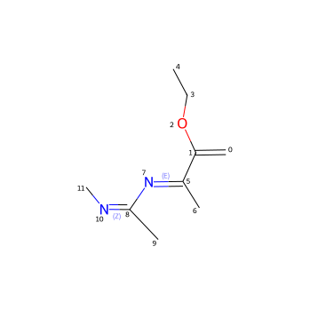 C=C(OCC)/C(C)=N/C(C)=N\C